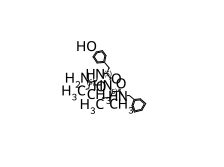 CCC(C)[C@H](NC(=O)[C@H](Cc1ccc(O)cc1)NC(=O)[C@@H](N)C(C)C)C(=O)NCc1ccccc1